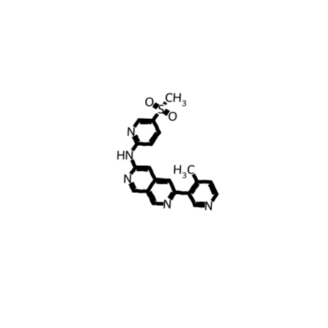 Cc1ccncc1-c1cc2cc(Nc3ccc(S(C)(=O)=O)cn3)ncc2cn1